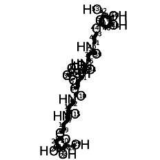 CC(C)(C)OP(=O)(O)OC(COC(=O)NCCC(=O)NCCCO[C@H]1C[C@@H](O)[C@@H](O)[C@@H](CO)O1)COC(=O)NCCC(=O)NCCCO[C@H]1C[C@@H](O)[C@@H](O)[C@@H](CO)O1